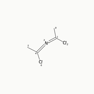 CC(Cl)=[N+]=C(C)Cl